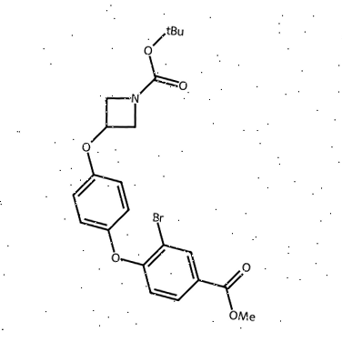 COC(=O)c1ccc(Oc2ccc(OC3CN(C(=O)OC(C)(C)C)C3)cc2)c(Br)c1